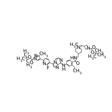 CCc1cc(Nc2nccn3c(-c4ccc(-c5cn(C(=O)OC(C)(C)C)nc5C)nc4F)cnc23)ccc1C(=O)NCC1CC[N+](C)(CC2CN(C(=O)OC(C)(C)C)C2)CC1